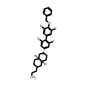 CCCC1CC[C@@H]2C[C@H](c3cc(F)c(-c4cc(F)c(OCc5ccccc5)c(F)c4)c(F)c3)CC[C@@H]2C1